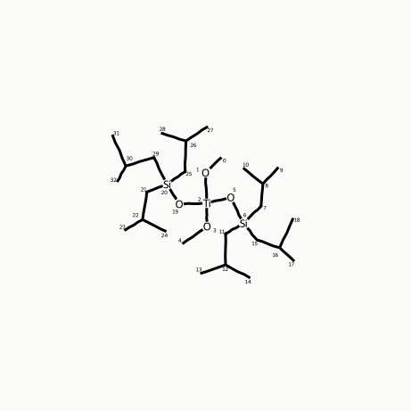 C[O][Ti]([O]C)([O][Si](CC(C)C)(CC(C)C)CC(C)C)[O][Si](CC(C)C)(CC(C)C)CC(C)C